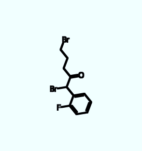 O=C(CCCBr)C(Br)c1ccccc1F